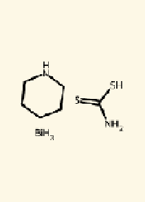 C1CCNCC1.NC(=S)S.[BiH3]